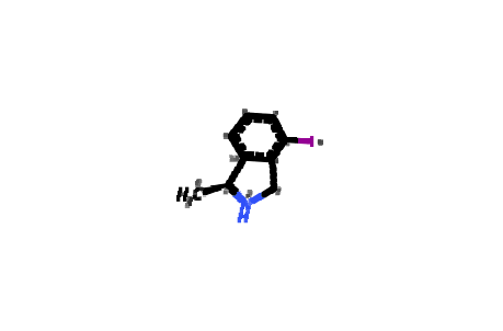 C[C@@H]1NCc2c(I)cccc21